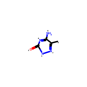 CC1=N[N]C(=O)N=C1N